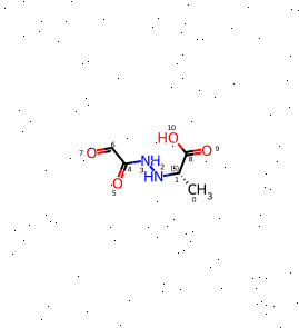 C[C@H](NNC(=O)C=O)C(=O)O